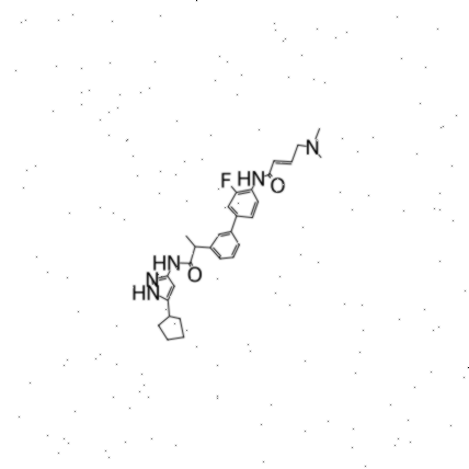 CC(C(=O)Nc1cc(C2CCCC2)[nH]n1)c1cccc(-c2ccc(NC(=O)/C=C/CN(C)C)c(F)c2)c1